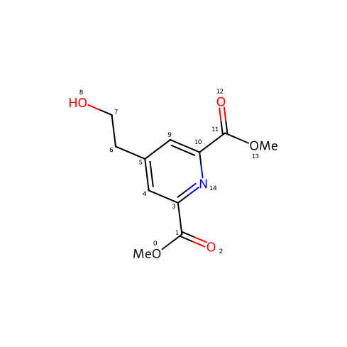 COC(=O)c1cc(CCO)cc(C(=O)OC)n1